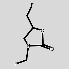 O=C1OC(CF)CN1CF